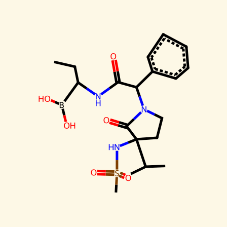 CCC(NC(=O)C(c1ccccc1)N1CCC(NS(C)(=O)=O)(C(C)C)C1=O)B(O)O